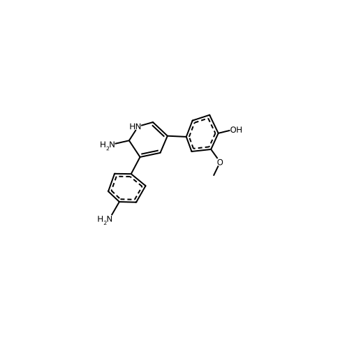 COc1cc(C2=CNC(N)C(c3ccc(N)cc3)=C2)ccc1O